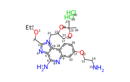 CCOCc1nc2c(N)nc3cc(OCCN)ccc3c2n1CC1COC(C)(C)O1.Cl.Cl